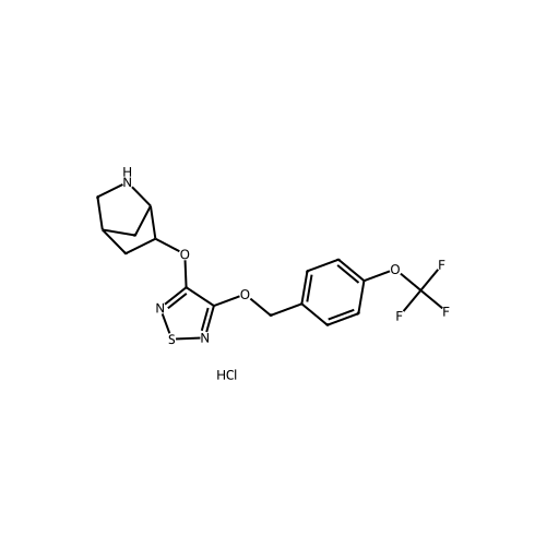 Cl.FC(F)(F)Oc1ccc(COc2nsnc2OC2CC3CNC2C3)cc1